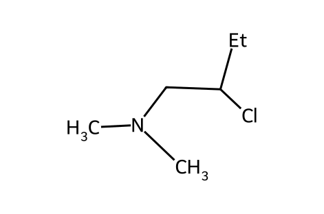 CCC(Cl)CN(C)C